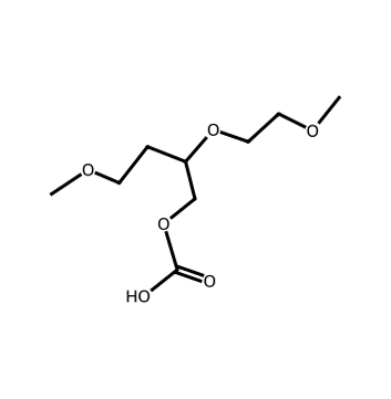 COCCOC(CCOC)COC(=O)O